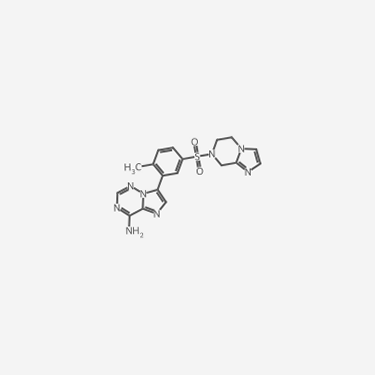 Cc1ccc(S(=O)(=O)N2CCn3ccnc3C2)cc1-c1cnc2c(N)ncnn12